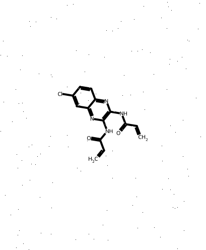 C=CC(=O)Nc1nc2ccc(Cl)cc2nc1NC(=O)C=C